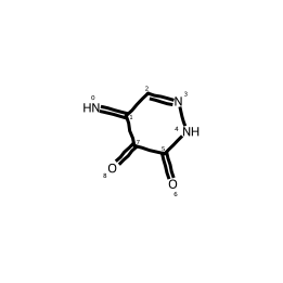 N=C1C=NNC(=O)C1=O